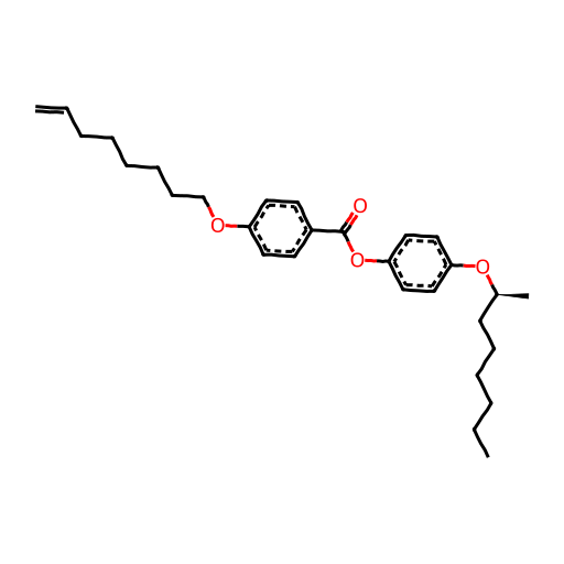 C=CCCCCCCOc1ccc(C(=O)Oc2ccc(O[C@@H](C)CCCCCC)cc2)cc1